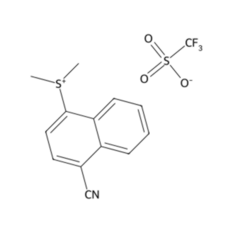 C[S+](C)c1ccc(C#N)c2ccccc12.O=S(=O)([O-])C(F)(F)F